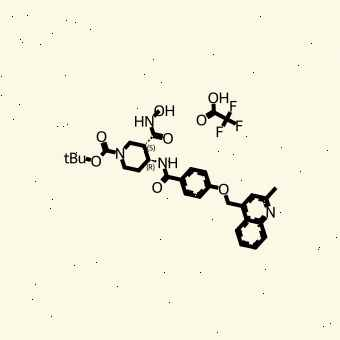 Cc1cc(COc2ccc(C(=O)N[C@@H]3CCN(C(=O)OC(C)(C)C)C[C@@H]3C(=O)NO)cc2)c2ccccc2n1.O=C(O)C(F)(F)F